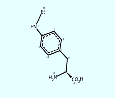 CCNc1ccc(C[C@H](N)C(=O)O)cc1